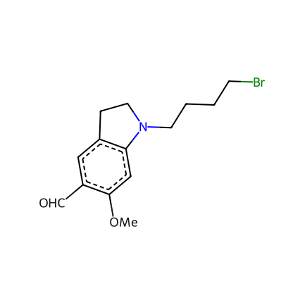 COc1cc2c(cc1C=O)CCN2CCCCBr